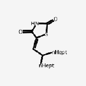 CCCCCCCC(/C=C1\SC(=O)NC1=O)CCCCCCC